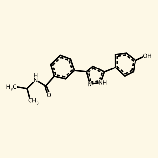 CC(C)NC(=O)c1cccc(-c2cc(-c3ccc(O)cc3)[nH]n2)c1